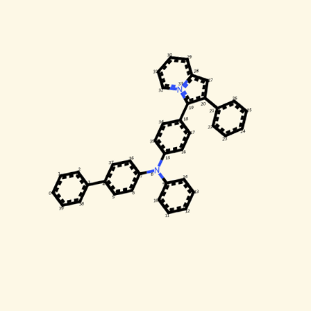 c1ccc(-c2ccc(N(c3ccccc3)c3ccc(-c4c(-c5ccccc5)cc5ccccn45)cc3)cc2)cc1